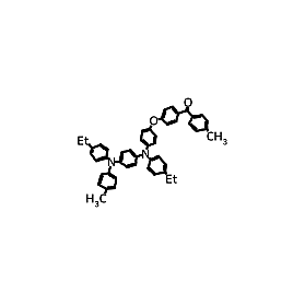 CCc1ccc(N(c2ccc(C)cc2)c2ccc(N(c3ccc(CC)cc3)c3ccc(Oc4ccc(C(=O)c5ccc(C)cc5)cc4)cc3)cc2)cc1